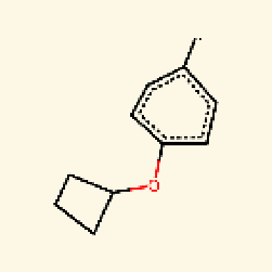 [CH2]c1ccc(OC2CCC2)cc1